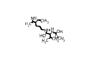 C=C(N)[C@@H](CC)CCCN[C@H](O)[C@@H](NC(O)OC)C(C)C